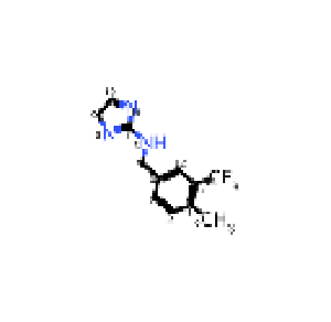 Cc1ccc(CNC2=NCC=N2)cc1C(F)(F)F